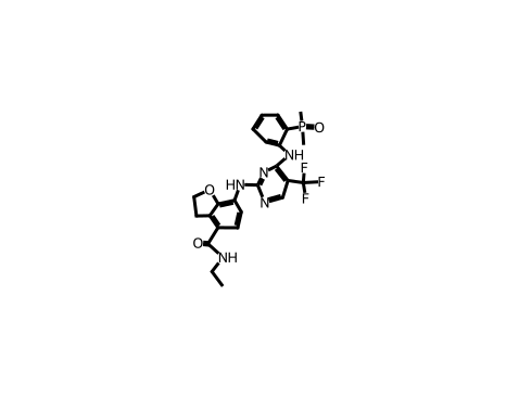 CCNC(=O)c1ccc(Nc2ncc(C(F)(F)F)c(Nc3ccccc3P(C)(C)=O)n2)c2c1CCO2